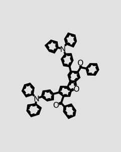 O=C(c1ccccc1)c1cc2oc3cc(C(=O)c4ccccc4)c(-c4ccc(N(c5ccccc5)c5ccccc5)cc4)cc3c2cc1-c1ccc(N(c2ccccc2)c2ccccc2)cc1